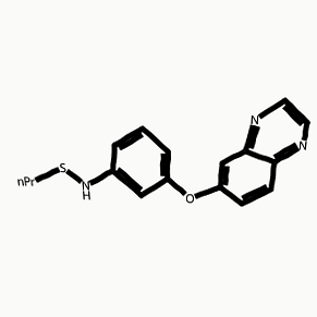 CCCSNc1cccc(Oc2ccc3nccnc3c2)c1